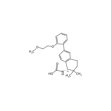 COCCOc1ccccc1-c1ccc2c(c1)CCC(C)(C)[C@@H]2NC(=O)O